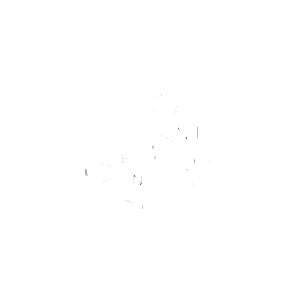 CC(=O)SC1CCN(C(C(=O)C2CC2)c2ccccc2F)CC1=Cc1c[nH]c2ccccc12